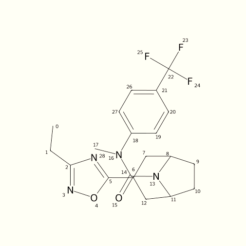 CCc1noc(C2CC3CCC(C2)N3C(=O)N(C)c2ccc(C(F)(F)F)cc2)n1